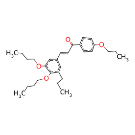 CCCCOc1cc(C=CC(=O)c2ccc(OCCC)cc2)cc(CCC)c1OCCCC